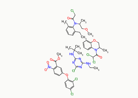 CC1COc2ccccc2N1C(=O)C(Cl)Cl.CCNc1nc(Cl)nc(NC(C)(C)C)n1.CCc1cccc(C)c1N(C(=O)CCl)C(C)COC.COC(=O)c1cc(Oc2ccc(Cl)cc2Cl)ccc1[N+](=O)[O-]